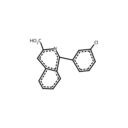 O=C(O)c1cc2ccccc2c(-c2cccc(Cl)c2)n1